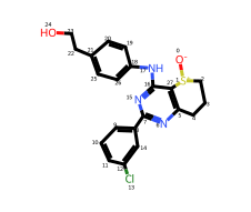 [O-][S+]1CCCc2nc(-c3cccc(Cl)c3)nc(Nc3ccc(CCO)cc3)c21